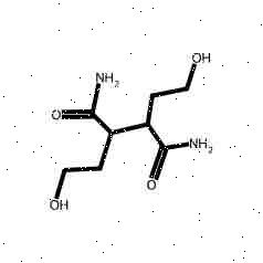 NC(=O)C(CCO)C(CCO)C(N)=O